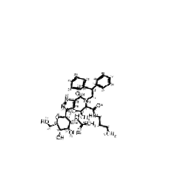 CCCCNC(=O)C(C(C)C)N(CC(c1ccccc1)c1ccccc1)C(=O)c1cn([C@@H]2O[C@H](CO)[C@@H](O)[C@H](O)[C@H]2NC(C)=O)nn1